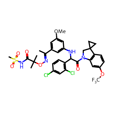 COc1cc(NC(C(=O)N2CC3(CC3)c3ccc(OC(F)(F)F)cc32)c2ccc(Cl)cc2Cl)cc(C(C)=NOC(C)(C)C(=O)NS(C)(=O)=O)c1